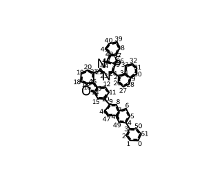 c1ccc(-c2ccc3cc(-c4ccc5c(c4)oc4cccc(-c6nc(-c7cccc8ccccc78)c7sc8ccccc8c7n6)c45)ccc3c2)cc1